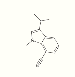 CC(C)c1cn(C)c2c(C#N)cccc12